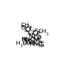 COc1cccc(Cn2c(C(=O)NS(C)(=O)=O)c(-n3c(=O)[nH]c4cscc4c3=O)c3cc(C)ccc32)c1